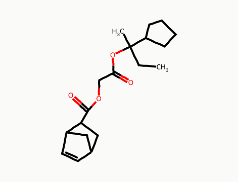 CCC(C)(OC(=O)COC(=O)C1CC2C=CC1C2)C1CCCC1